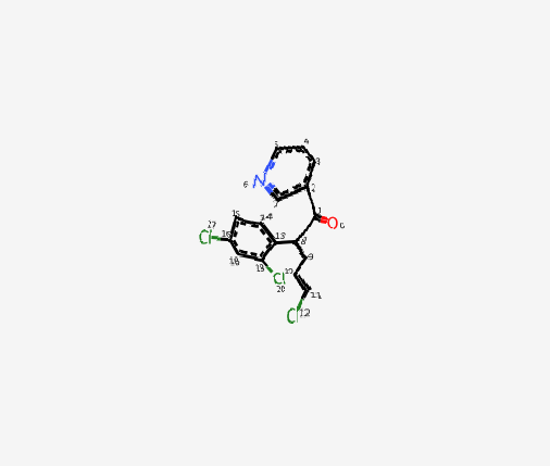 O=C(c1cccnc1)C(CC=CCl)c1ccc(Cl)cc1Cl